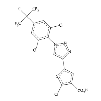 O=C(O)c1cc(-c2cn(-c3c(Cl)cc(C(F)(C(F)(F)F)C(F)(F)F)cc3Cl)nn2)sc1Cl